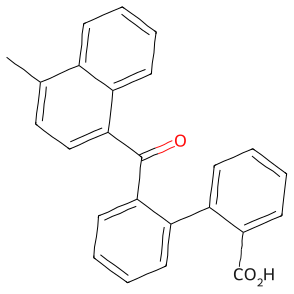 Cc1ccc(C(=O)c2ccccc2-c2ccccc2C(=O)O)c2ccccc12